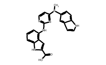 CN(c1ccc2[nH]ccc2c1)c1ccnc(Nc2cccc3[nH]c(C(=O)O)cc23)n1